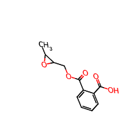 CC1OC1COC(=O)c1ccccc1C(=O)O